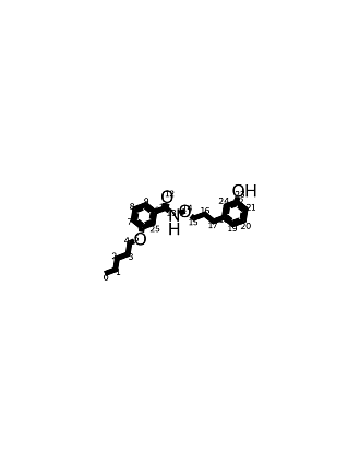 CCCCCOc1cccc(C(=O)NOCCCc2cccc(O)c2)c1